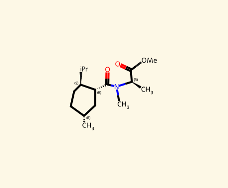 COC(=O)[C@@H](C)N(C)C(=O)[C@@H]1C[C@H](C)CC[C@H]1C(C)C